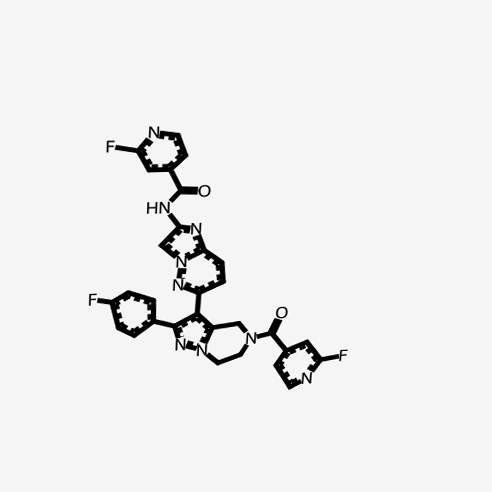 O=C(Nc1cn2nc(-c3c(-c4ccc(F)cc4)nn4c3CN(C(=O)c3ccnc(F)c3)CC4)ccc2n1)c1ccnc(F)c1